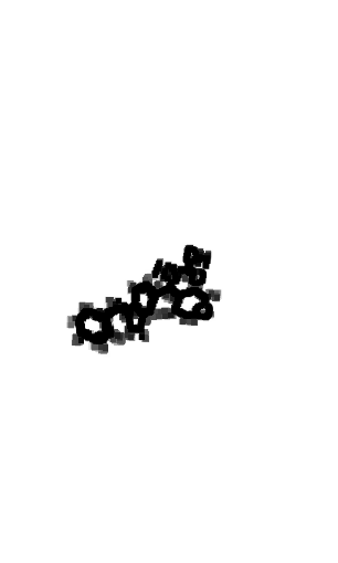 O=C(O)NC(c1ccc2c(c1)CCN2Cc1ccccc1)C1CCOCC1